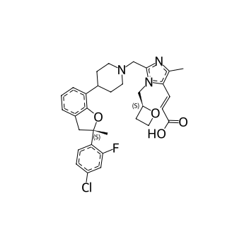 Cc1nc(CN2CCC(c3cccc4c3O[C@](C)(c3ccc(Cl)cc3F)C4)CC2)n(C[C@@H]2CCO2)c1C=CC(=O)O